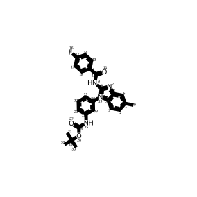 Cc1ccc2c(c1)nc(NC(=O)c1ccc(F)cc1)n2-c1cccc(NC(=O)OC(C)(C)C)c1